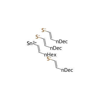 CCCCCCC=[CH][Sn+3].CCCCCCCCCCC=C[S-].CCCCCCCCCCC=C[S-].CCCCCCCCCCC=C[S-]